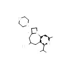 OC1Cc2c(cc(Cl)nc2C(F)F)N2C[C@@H](N3CCNCC3)[C@@H]2C1